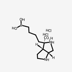 Cl.Cl.O=C(O)[C@]1(CCCCB(O)O)NC[C@@H]2NCC[C@@H]21